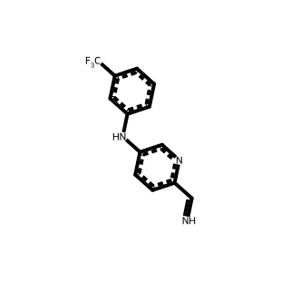 N=Cc1ccc(Nc2cccc(C(F)(F)F)c2)cn1